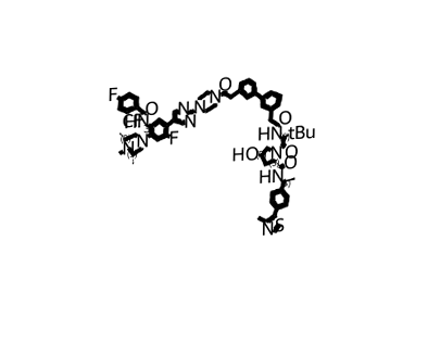 Cc1ncsc1-c1ccc([C@H](C)NC(=O)[C@@H]2C[C@@H](O)CN2C(=O)[C@@H](NC(=O)Cc2cccc(-c3cccc(CC(=O)N4CCN(c5ncc(-c6cc(NC(=O)c7ccc(F)cc7C(F)(F)F)c(N7C[C@@H](C)N(C)[C@@H](C)C7)cc6F)cn5)CC4)c3)c2)C(C)(C)C)cc1